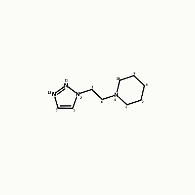 [c]1cn(CCN2CCCCC2)nn1